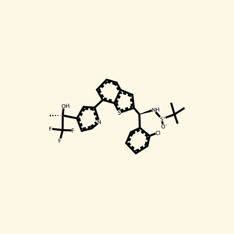 CC(C)(C)[S+]([O-])N[C@H](c1cc2cccc(-c3cc([C@](C)(O)C(F)(F)F)ccn3)c2s1)c1ccccc1Cl